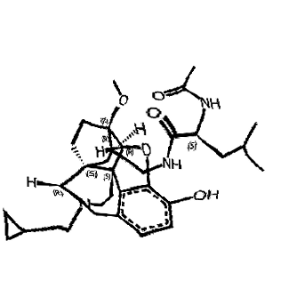 CO[C@]12CC[C@@]3(C[C@@H]1CNC(=O)[C@H](CC(C)C)NC(C)=O)[C@H]1Cc4ccc(O)c5c4[C@@]3(CCN1CC1CC1)[C@H]2O5